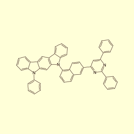 c1ccc(-c2cc(-c3ccc4c(-n5c6ccccc6c6cc7c8ccccc8n(-c8ccccc8)c7cc65)cccc4c3)nc(-c3ccccc3)n2)cc1